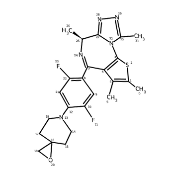 Cc1sc2c(c1C)C(c1cc(F)c(N3CCC4(CC3)CO4)cc1F)=N[C@@H](C)c1nnc(C)n1-2